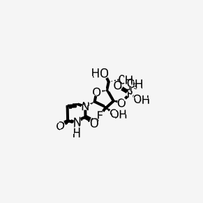 C[C@@H](O)[C@H]1O[C@@H](n2ccc(=O)[nH]c2=O)[C@@](O)(F)[C@@H]1OP(=O)(O)O